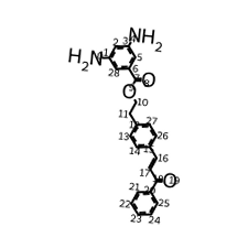 Nc1cc(N)cc(C(=O)OCCc2ccc(C=CC(=O)c3ccccc3)cc2)c1